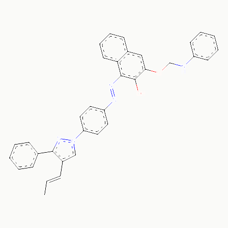 CC=Cc1cn(-c2ccc(N=Nc3c(O)c(OCNc4ccccc4)cc4ccccc34)cc2)nc1-c1ccccc1